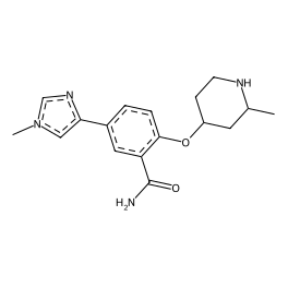 CC1CC(Oc2ccc(-c3cn(C)cn3)cc2C(N)=O)CCN1